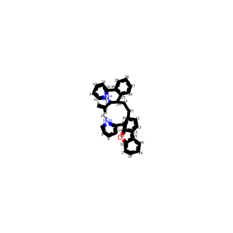 C=C1C[n+]2ccccc2-c2c(ccc3c2oc2ccccc23)CCC2c3ccccc3-c3cccc[n+]3C12